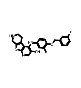 Cc1cc(Nc2c(C#N)cnc3sc4c(c23)CCNC4)ccc1OCc1cccc(F)c1